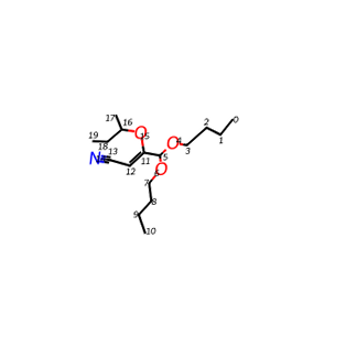 CCCCOC(OCCCC)C(=CC#N)OC(C)CC